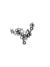 CC(C)(C)OC(=O)N1CCC(CNc2ncnc(N(Cc3ccc(C(F)(F)F)cc3)C3CC3)c2F)(NC(=O)OCc2ccccc2)CC1